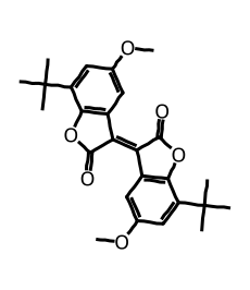 COc1cc2c(c(C(C)(C)C)c1)OC(=O)C2=C1C(=O)Oc2c1cc(OC)cc2C(C)(C)C